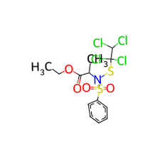 CCOC(=O)C(C)N(SC(Cl)(Cl)C(Cl)Cl)S(=O)(=O)c1ccccc1